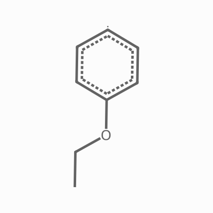 CCOc1cc[c]cc1